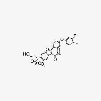 CNC(=O)c1c(-c2ccc(Oc3ccc(F)c(F)c3)cc2)oc2cc(N(CCO)S(C)(=O)=O)c(OC)cc12